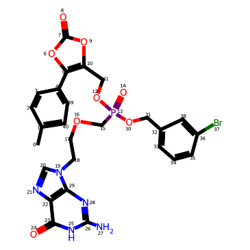 Cc1ccc(-c2oc(=O)oc2COP(=O)(COCCn2cnc3c(=O)[nH]c(N)nc32)OCc2cccc(Br)c2)cc1